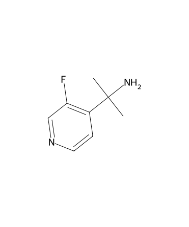 CC(C)(N)c1ccncc1F